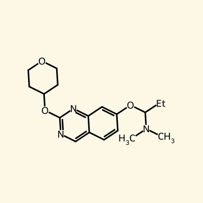 CCC(Oc1ccc2cnc(OC3CCOCC3)nc2c1)N(C)C